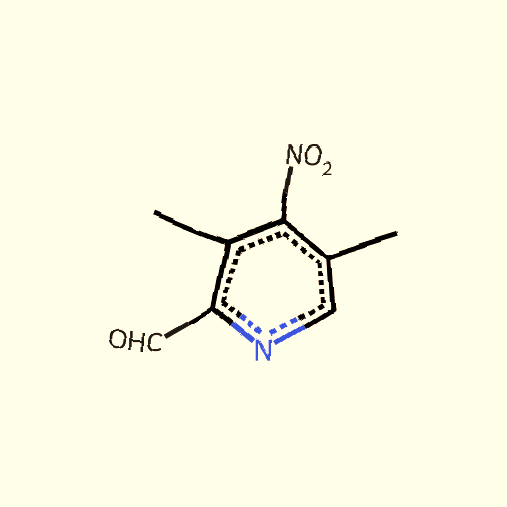 Cc1cnc(C=O)c(C)c1[N+](=O)[O-]